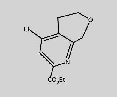 CCOC(=O)c1cc(Cl)c2c(n1)COCC2